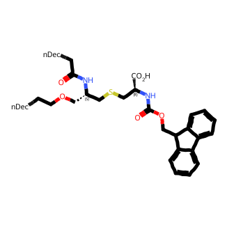 CCCCCCCCCCCCOC[C@@H](CSC[C@H](NC(=O)OCC1c2ccccc2-c2ccccc21)C(=O)O)NC(=O)CCCCCCCCCCC